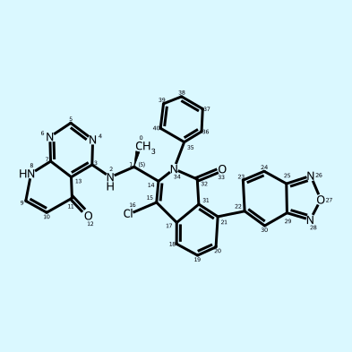 C[C@H](Nc1ncnc2[nH]ccc(=O)c12)c1c(Cl)c2cccc(-c3ccc4nonc4c3)c2c(=O)n1-c1ccccc1